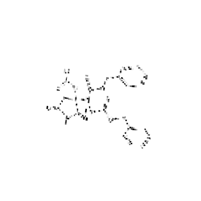 CCC(=O)OC1(N(NC(=O)OCc2ccccc2)C(=O)OCc2ccccc2)CC(=O)NC1=O